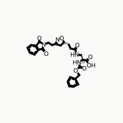 O=C(CC[C@@H]1CC(CCN2C(=O)c3ccccc3C2=O)=NO1)NC[C@H](NC(=O)OCc1ccccc1)C(=O)O